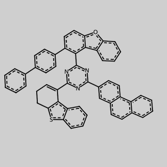 C1=C(c2nc(-c3ccc4c(ccc5ccccc54)c3)nc(-c3c(-c4ccc(-c5ccccc5)cc4)ccc4oc5ccccc5c34)n2)c2c(sc3ccccc23)CC1